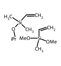 C=C[Si](C)(C)OC(C)C.C=C[Si](C)(OC)OC